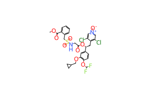 COC(=O)c1ccccc1CS(=O)(=O)NCC(=O)O[C@@H](Cc1c(Cl)c[n+]([O-])cc1Cl)c1ccc(OC(F)F)c(OCC2CC2)c1